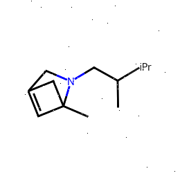 CC(C)C(C)CN1CC2=CC1(C)C2